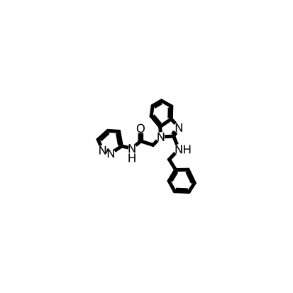 O=C(Cn1c(NCc2ccccc2)nc2ccccc21)Nc1cccnn1